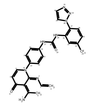 C=C/N=C1\C(=C(/C)N)C(=O)C=CN1c1ccc(NC(=O)Nc2cc(C(F)(F)F)ccc2-n2ccnn2)cc1